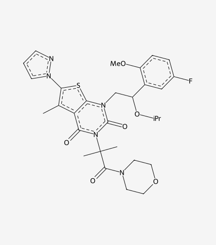 COc1ccc(F)cc1C(Cn1c(=O)n(C(C)(C)C(=O)N2CCOCC2)c(=O)c2c(C)c(-n3cccn3)sc21)OC(C)C